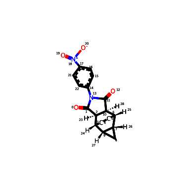 O=C1[C@@H]2[C@@H]3CC[C@@H]([C@@H]4C[C@@H]43)[C@@H]2C(=O)N1c1ccc([N+](=O)[O-])cc1